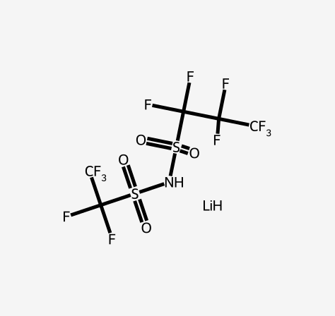 O=S(=O)(NS(=O)(=O)C(F)(F)C(F)(F)C(F)(F)F)C(F)(F)C(F)(F)F.[LiH]